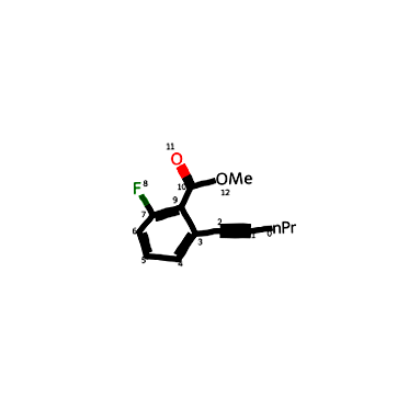 CCCC#Cc1cccc(F)c1C(=O)OC